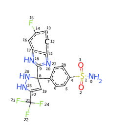 NS(=O)(=O)c1ccc(C2(c3nc4ccc(F)cc4[nH]3)C=C(C(F)(F)F)NN2)cc1